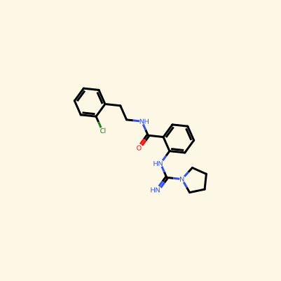 N=C(Nc1ccccc1C(=O)NCCc1ccccc1Cl)N1CCCC1